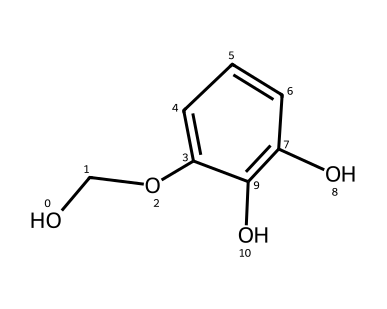 OCOc1cccc(O)c1O